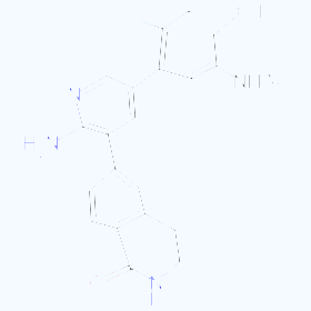 CC(=O)Nc1cc(-c2cnc(N)c(-c3ccc4c(c3)CCNC4=O)c2)c(F)cc1C